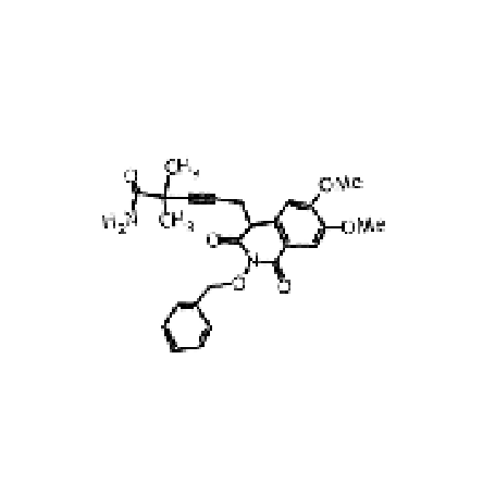 COc1cc2c(cc1OC)C(CC#CC(C)(C)C(N)=O)C(=O)N(OCc1ccccc1)C2=O